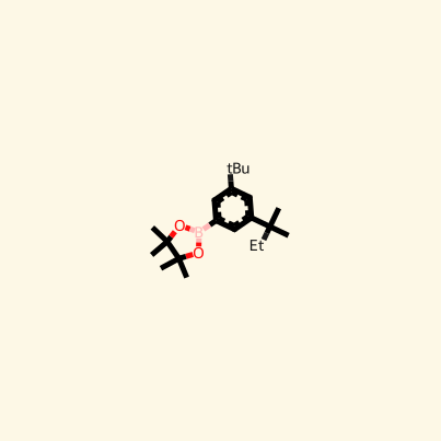 CCC(C)(C)c1cc(B2OC(C)(C)C(C)(C)O2)cc(C(C)(C)C)c1